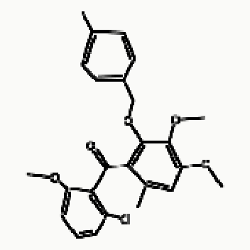 COc1cc(C)c(C(=O)c2c(Cl)cccc2OC)c(OCc2ccc(C)cc2)c1OC